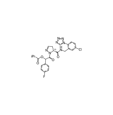 CC(C)C(=O)OC(C(=O)N1N=CC[C@H]1C(=O)NCc1cc(Cl)ccc1-n1cnnn1)c1ccc(F)cc1